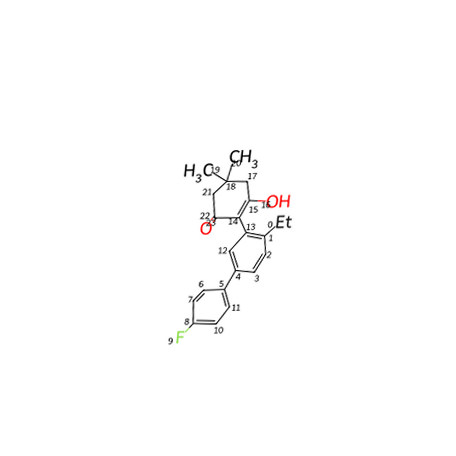 CCc1ccc(-c2ccc(F)cc2)cc1C1=C(O)CC(C)(C)CC1=O